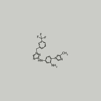 Cc1cn(-c2ccc(Nc3ncn(Cc4cccc(C(F)(F)F)c4)n3)cc2N)cn1